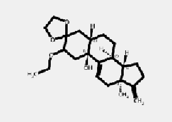 C=C1CC[C@H]2[C@@H]3CC[C@H]4CC5(OCCO5)C(OCC)C[C@@]4(O)C3=CC[C@]12C